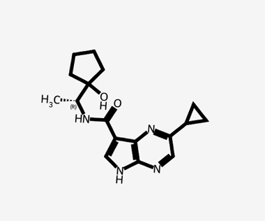 C[C@@H](NC(=O)c1c[nH]c2ncc(C3CC3)nc12)C1(O)CCCC1